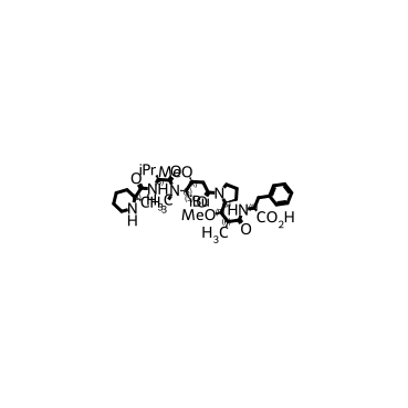 CC[C@H](C)[C@@H]([C@@H](CC(=O)N1CCC[C@H]1[C@H](OC)[C@@H](C)C(=O)N[C@@H](Cc1ccccc1)C(=O)O)OC)N(C)C(=O)[C@@H](NC(=O)[C@]1(C)CCCCN1)C(C)C